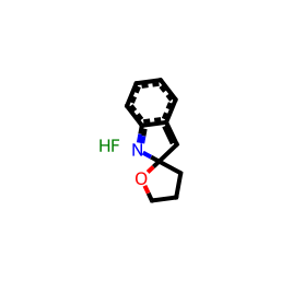 C1=c2ccccc2=NC12CCCO2.F